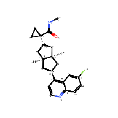 CC(C)NC(=O)C1([C@@H]2C[C@H]3C[C@@H](c4ccnc5ccc(F)cc45)C[C@H]3C2)CC1